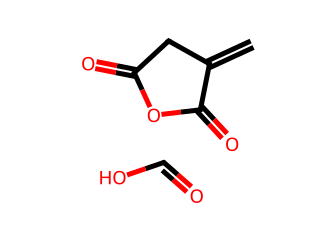 C=C1CC(=O)OC1=O.O=CO